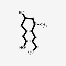 CCC(CCCCO)C[C@H](C)CCCCO